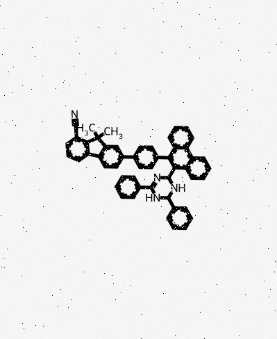 CC1(C)c2cc(-c3ccc(-c4c(C5N=C(c6ccccc6)NC(c6ccccc6)N5)c5ccccc5c5ccccc45)cc3)ccc2-c2cccc(C#N)c21